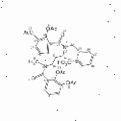 CC(=O)Oc1cccc(C(=O)N(C)CCCN(Cc2ccccc2C(=O)O)C(=O)c2cccc(OC(C)=O)c2OC(C)=O)c1OC(C)=O